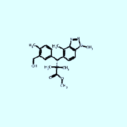 COC(=O)C(C)(C)[C@H](c1ccc(C)c(CO)c1)c1ccc2c(nnn2C)c1C